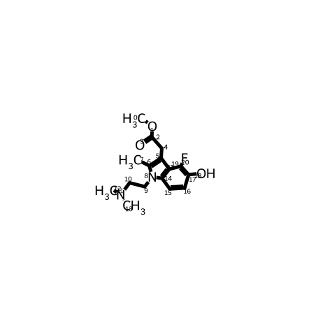 COC(=O)Cc1c(C)n(CCN(C)C)c2ccc(O)c(F)c12